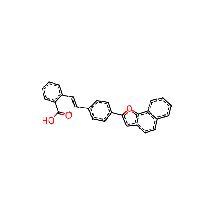 O=C(O)c1ccccc1C=Cc1ccc(-c2cc3ccc4ccccc4c3o2)cc1